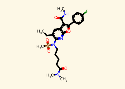 CCc1cc2c(C(=O)NC)c(-c3ccc(F)cc3)oc2nc1N(CCCCC(=O)N(C)C)S(C)(=O)=O